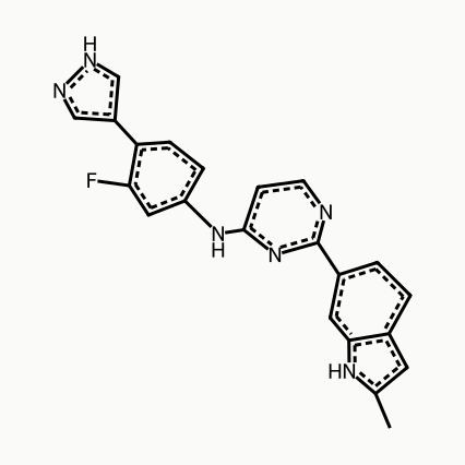 Cc1cc2ccc(-c3nccc(Nc4ccc(-c5cn[nH]c5)c(F)c4)n3)cc2[nH]1